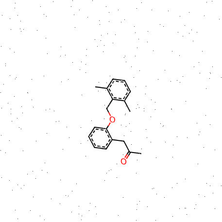 CC(=O)Cc1ccccc1OCc1c(C)cccc1C